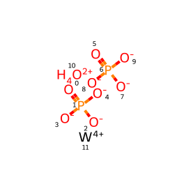 O=P([O-])([O-])[O-].O=P([O-])([O-])[O-].[OH4+2].[W+4]